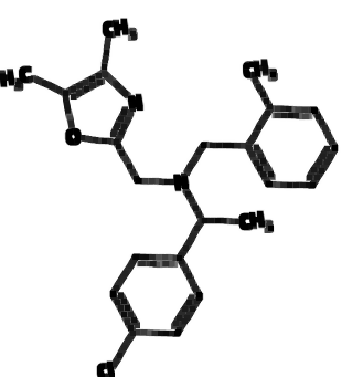 Cc1ccccc1CN(Cc1nc(C)c(C)o1)C(C)c1ccc(Cl)cc1